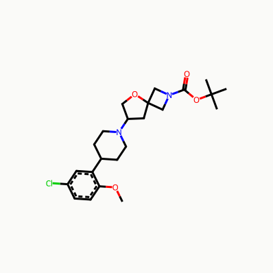 COc1ccc(Cl)cc1C1CCN(C2COC3(C2)CN(C(=O)OC(C)(C)C)C3)CC1